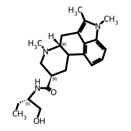 CC[C@@H](CO)NC(=O)[C@@H]1CC2c3cccc4c3c(c(C)n4C)C[C@H]2N(C)C1